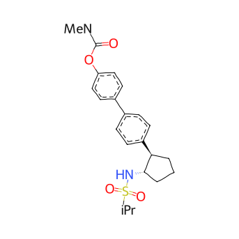 CNC(=O)Oc1ccc(-c2ccc([C@H]3CCC[C@@H]3NS(=O)(=O)C(C)C)cc2)cc1